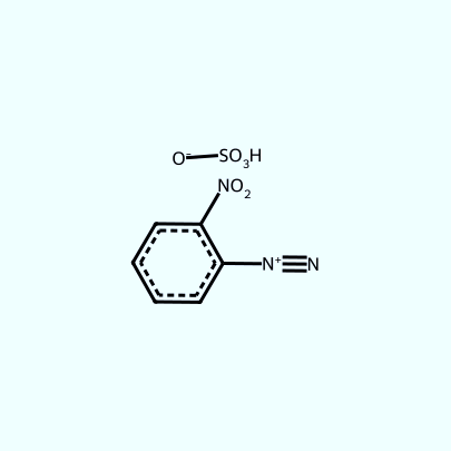 N#[N+]c1ccccc1[N+](=O)[O-].O=S(=O)([O-])O